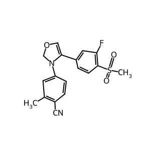 Cc1cc(N2COC=C2c2ccc(S(C)(=O)=O)c(F)c2)ccc1C#N